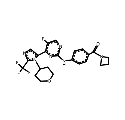 O=C(c1ccc(Nc2ncc(F)c(-c3cnc(C(F)(F)F)n3C3CCOCC3)n2)cc1)N1CCC1